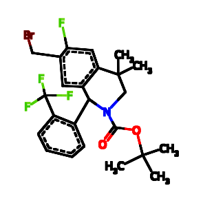 CC(C)(C)OC(=O)N1CC(C)(C)c2cc(F)c(CBr)cc2C1c1ccccc1C(F)(F)F